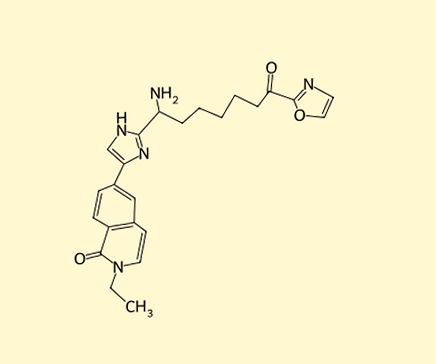 CCn1ccc2cc(-c3c[nH]c(C(N)CCCCCC(=O)c4ncco4)n3)ccc2c1=O